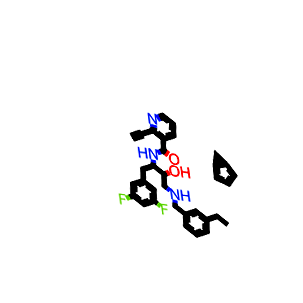 C#Cc1ncccc1C(=O)NC(Cc1cc(F)cc(F)c1)C(O)CNCc1cccc(CC)c1.c1cc2cc-2c1